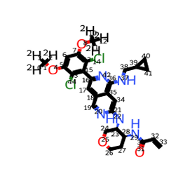 [2H]C([2H])([2H])Oc1cc(OC([2H])([2H])[2H])c(Cl)c(-c2cc3cnc(N[C@@H]4COCC[C@@H]4NC(=O)C=C)cc3c(NCC3CC3)n2)c1Cl